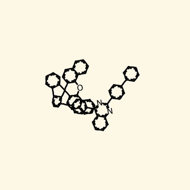 c1ccc(-c2ccc(-c3nc(-c4ccc(-c5cccc6c5C5(c7ccccc7-6)c6ccc7ccccc7c6Oc6c5ccc5ccccc65)cc4)c4ccccc4n3)cc2)cc1